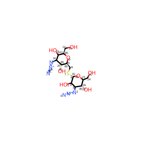 [N-]=[N+]=NC1C(O)[C@H](SC[C@@H]2O[C@H](CO)C(O)C(N=[N+]=[N-])[C@H]2O)OC(CO)[C@@H]1O